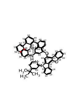 CC(C)(C)c1ccnc(-n2c3ccccc3c3c4oc5ccccc5c4c(Oc4cccc(Nc5ccccc5Nc5c(-c6ccccc6)cccc5-c5ccccc5)c4)cc32)c1